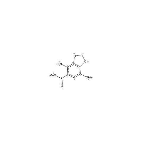 COC(=O)c1cc(OC)c2c(c1N)OCO2